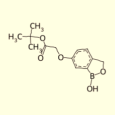 CC(C)(C)OC(=O)COc1ccc2c(c1)B(O)OC2